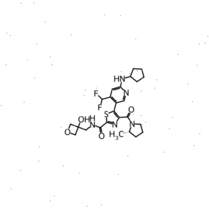 C[C@H]1CCCN1C(=O)c1nc(C(=O)NCC2(O)COC2)sc1-c1cnc(NC2CCCC2)cc1C(F)F